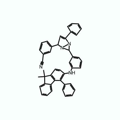 CC1(C)c2ccccc2-c2c1ccc(Nc1cccc(C3N4C(c5ccccc5)=CC(c5cccc(C#N)c5)N34)c1)c2-c1ccccc1